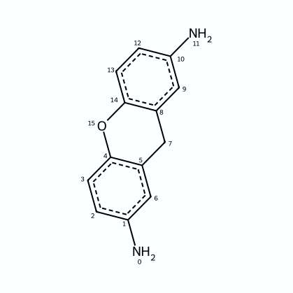 Nc1ccc2c(c1)Cc1cc(N)ccc1O2